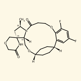 C[C@@H]1C[C@]2(COCC(=O)N2)[C@H]2CO[C@H]3CC[C@H](CC3)c3cc(F)cc(F)c3OCCC(=O)N12